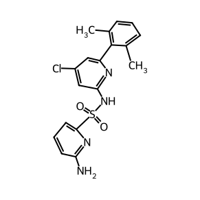 Cc1cccc(C)c1-c1cc(Cl)cc(NS(=O)(=O)c2cccc(N)n2)n1